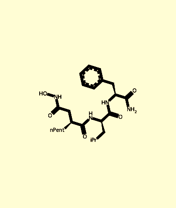 CCCCC[C@@H](CC(=O)NO)C(=O)N[C@H](CC(C)C)C(=O)N[C@@H](Cc1ccccc1)C(N)=O